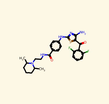 CC1CCCC(C)N1CCNC(=O)c1ccc(Nc2nc(N)c(C(=O)c3c(F)cccc3F)s2)cc1